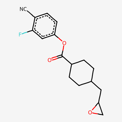 N#Cc1ccc(OC(=O)C2CCC(CC3CO3)CC2)cc1F